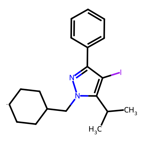 CC(C)c1c(I)c(-c2ccccc2)nn1CC1CC[CH]CC1